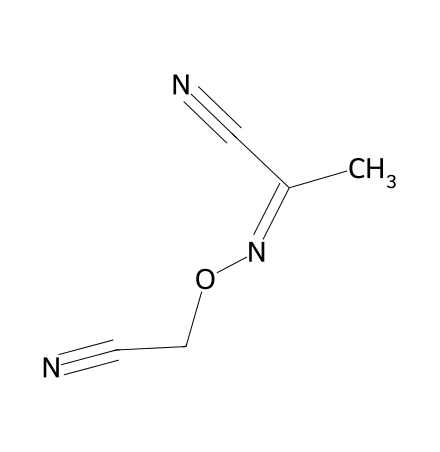 CC(C#N)=NOCC#N